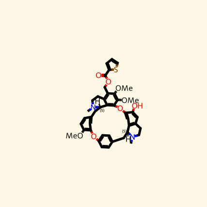 COc1ccc2cc1Oc1ccc(cc1)C[C@H]1c3cc(c(O)cc3CCN1C)Oc1c(OC)c(OC)c(COC(=O)c3cccs3)c3c1[C@H](C2)N(C)CC3